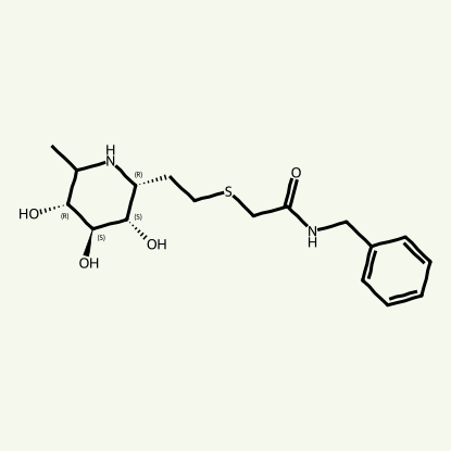 CC1N[C@H](CCSCC(=O)NCc2ccccc2)[C@H](O)[C@@H](O)[C@@H]1O